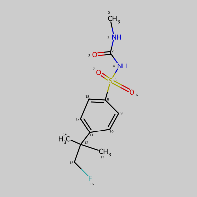 CNC(=O)NS(=O)(=O)c1ccc(C(C)(C)CF)cc1